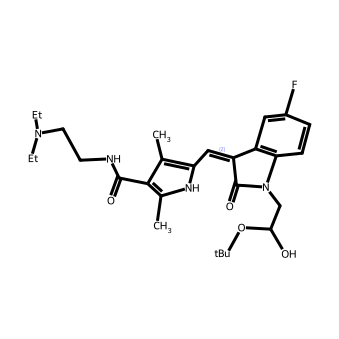 CCN(CC)CCNC(=O)c1c(C)[nH]c(/C=C2\C(=O)N(CC(O)OC(C)(C)C)c3ccc(F)cc32)c1C